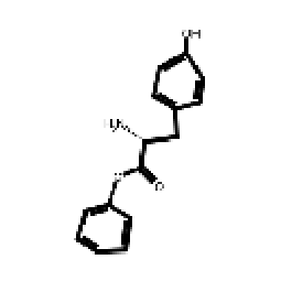 N[C@H](Cc1ccc(O)cc1)C(=O)Oc1ccccc1